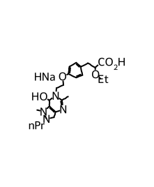 CCCN1CC2=C(C(O)N(CCOc3ccc(CC(OCC)C(=O)O)cc3)C(C)=N2)N1C.[NaH]